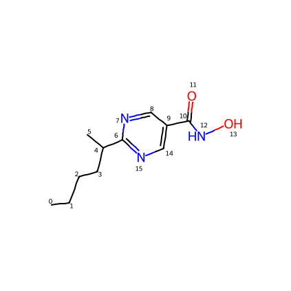 CCCCC(C)c1ncc(C(=O)NO)cn1